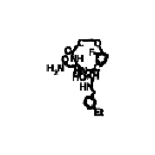 CCc1cccc(CNC[C@@H](O)[C@@H]2Cc3ccc(c(F)c3)OCCCCC(=O)NC(CC(N)=O)C(=O)N2)c1